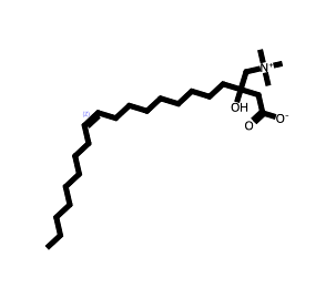 CCCCCCCC/C=C\CCCCCCCCC(O)(CC(=O)[O-])C[N+](C)(C)C